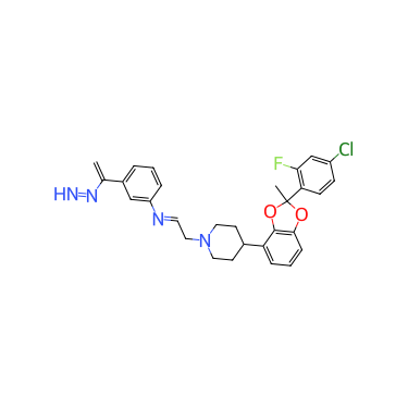 C=C(N=N)c1cccc(/N=C/CN2CCC(c3cccc4c3OC(C)(c3ccc(Cl)cc3F)O4)CC2)c1